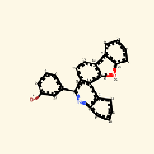 Brc1cccc(-c2nc3ccccc3c3c2ccc2c4ccccc4oc23)c1